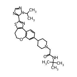 CC(C)n1ncnc1-c1nc2c(s1)CCOc1cc(C3CCN(CC(=O)NC(C)(C)C)CC3)ccc1-2